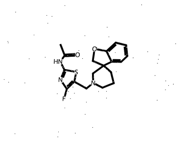 CC(=O)Nc1nc(F)c(CN2CCCC3(COc4ccccc43)C2)s1